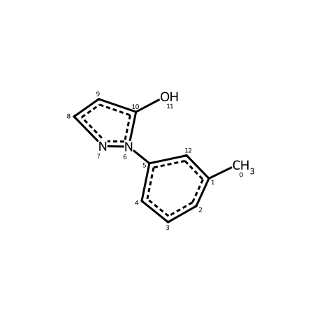 Cc1cccc(-n2nccc2O)c1